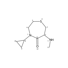 CNC1CSCCN(C2CC2)C1=O